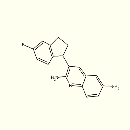 Nc1ccc2nc(N)c(C3CCc4cc(F)ccc43)cc2c1